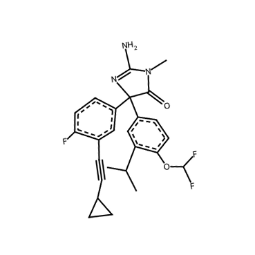 CC(C)c1cc(C2(c3ccc(F)c(C#CC4CC4)c3)N=C(N)N(C)C2=O)ccc1OC(F)F